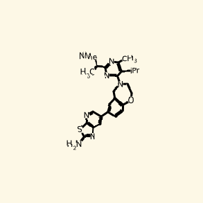 CN[C@H](C)c1nc(C)c(C(C)C)c(N2CCOc3ccc(-c4cnc5sc(N)nc5c4)cc3C2)n1